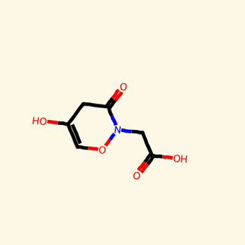 O=C(O)CN1OC=C(O)CC1=O